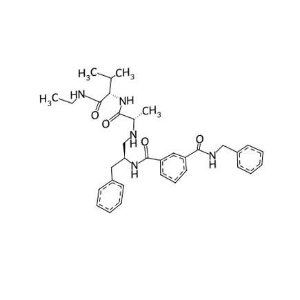 CCNC(=O)[C@@H](NC(=O)[C@H](C)NC[C@H](Cc1ccccc1)NC(=O)c1cccc(C(=O)NCc2ccccc2)c1)C(C)C